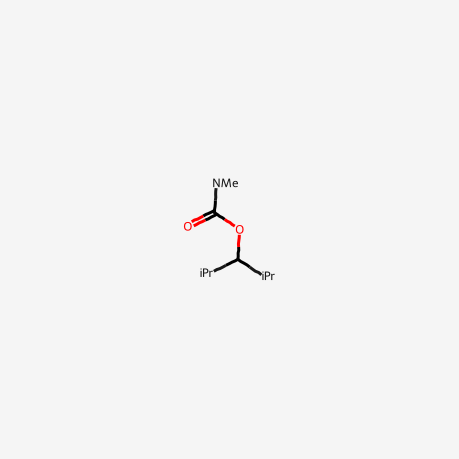 CNC(=O)OC(C(C)C)C(C)C